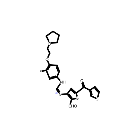 O=Cc1sc(C(=O)c2ccsc2)cc1/N=C\Nc1ccc(OCCN2CCCC2)c(F)c1